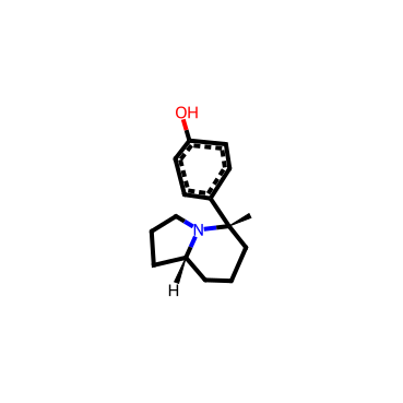 C[C@@]1(c2ccc(O)cc2)CCC[C@@H]2CCCN21